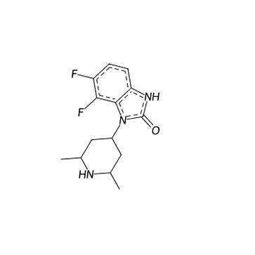 CC1CC(n2c(=O)[nH]c3ccc(F)c(F)c32)CC(C)N1